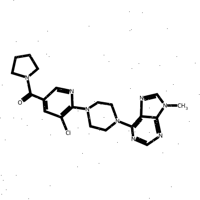 Cn1cnc2c(N3CCN(c4ncc(C(=O)N5CCCC5)cc4Cl)CC3)ncnc21